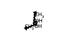 CC1(CCCCCc2cc(CCCCCC3(C)CC3)c(O)cc2O)CC1